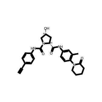 C#Cc1ccc(NC(=O)N2C[C@H](O)C[C@@H]2C(=O)Nc2ccc(N3CCCCC3=O)c(C)c2)cc1